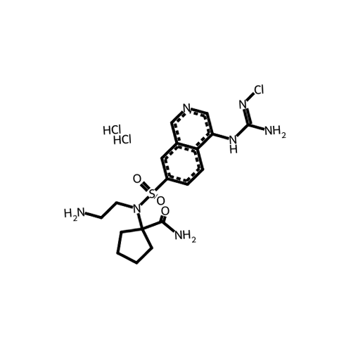 Cl.Cl.NCCN(C1(C(N)=O)CCCC1)S(=O)(=O)c1ccc2c(NC(N)=NCl)cncc2c1